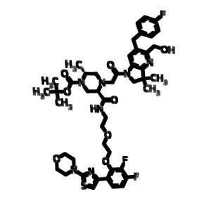 C[C@@H]1CN(CC(=O)N2CC(C)(C)c3nc(CO)c(Cc4ccc(F)cc4)cc32)[C@@H](C(=O)NCCOCCOc2c(-c3csc(N4CCOCC4)n3)ccc(F)c2F)CN1C(=O)OC(C)(C)C